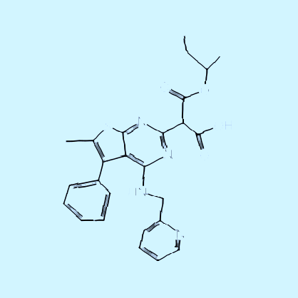 CCC(C)OC(=O)C(C(=O)O)c1nc(NCc2ccccn2)c2c(-c3ccccc3)c(C)sc2n1